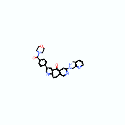 Cc1cccnc1CNc1cc2c(=O)c3cc(-c4ccc(C(=O)N5CCOCC5)cc4)cnc3ccc2cn1